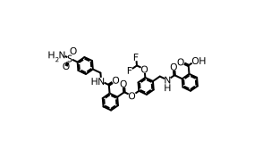 NS(=O)(=O)c1ccc(CNC(=O)c2ccccc2C(=O)Oc2ccc(CNC(=O)c3ccccc3C(=O)O)c(OC(F)F)c2)cc1